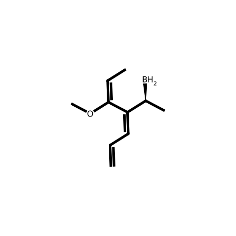 B[C@@H](C)C(=C/C=C)/C(=C\C)OC